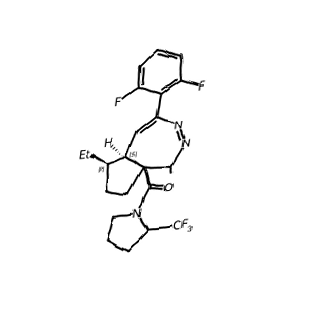 CC[C@@H]1CCC2(C(=O)N3CCCC3C(F)(F)F)C(C)N=NC(c3c(F)cccc3F)=C[C@H]12